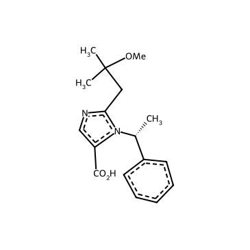 COC(C)(C)Cc1ncc(C(=O)O)n1[C@H](C)c1ccccc1